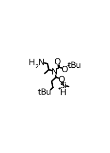 CC(CN)N(C(=O)OC(C)(C)C)C(CCC(C)(C)C)O[SiH](C)C